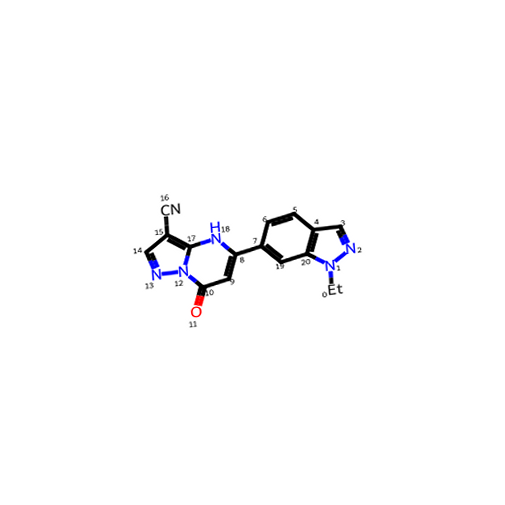 CCn1ncc2ccc(-c3cc(=O)n4ncc(C#N)c4[nH]3)cc21